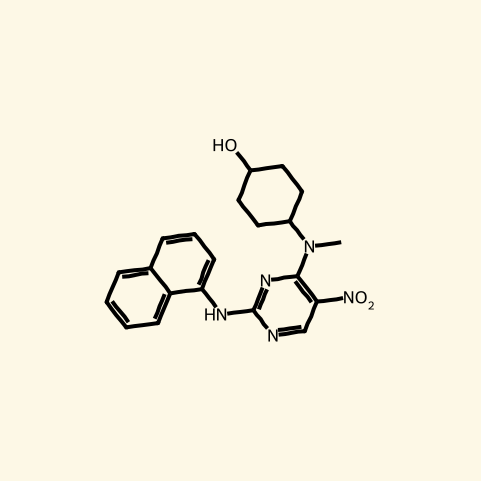 CN(c1nc(Nc2cccc3ccccc23)ncc1[N+](=O)[O-])C1CCC(O)CC1